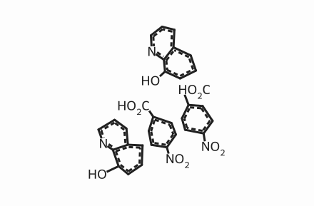 O=C(O)c1ccc([N+](=O)[O-])cc1.O=C(O)c1ccc([N+](=O)[O-])cc1.Oc1cccc2cccnc12.Oc1cccc2cccnc12